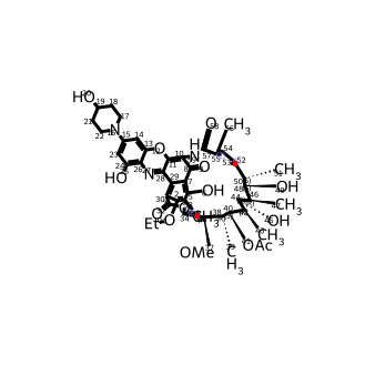 CCOc1c(C)c(O)c2c(=O)c3c4oc5cc(N6CCC(O)CC6)cc(O)c5nc-4c2c1C(=O)O/C=C/[C@H](OC)[C@@H](C)[C@@H](OC(C)=O)[C@H](C)[C@H](O)[C@H](C)[C@@H](O)[C@@H](C)/C=C/C=C(/C)C(=O)N3